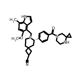 COc1cc(C)c2[nH]ccc2c1CN1CCC2(CC(C#N)C2)C[C@H]1c1ccc(C(=O)N2CCNC3(CC3)C2)cc1